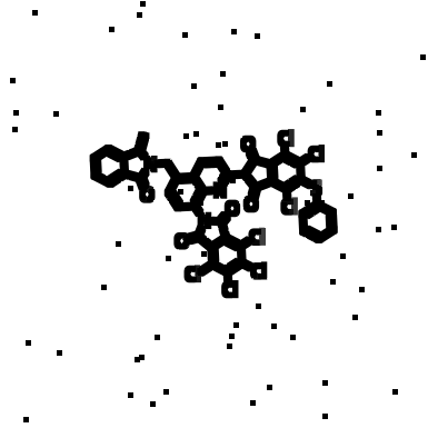 C=C1c2ccccc2C(=O)N1Cc1ccc(N2C(=O)c3c(Cl)c(Cl)c(Cl)c(Cl)c3C2=O)c2nc(C3C(=O)c4c(Cl)c(Cl)c(Sc5ccccc5)c(Cl)c4C3=O)ccc12